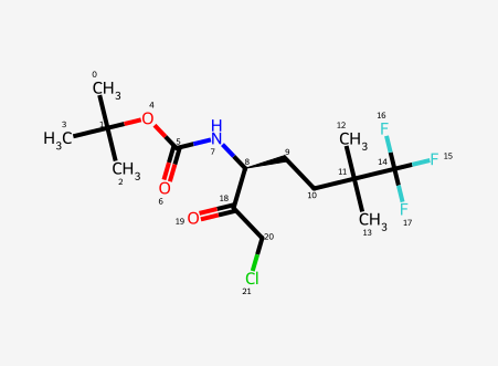 CC(C)(C)OC(=O)N[C@@H](CCC(C)(C)C(F)(F)F)C(=O)CCl